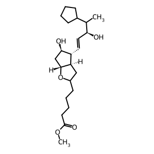 COC(=O)CCCCC1C[C@@H]2[C@@H](/C=C/[C@H](O)C(C)C3CCCC3)[C@H](O)C[C@H]2O1